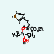 CCOC(=O)[C@@H](Cc1ccsc1)OC(C)(C)O